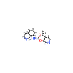 Cc1ccncc1OC(=O)Nc1cccc2ccncc12